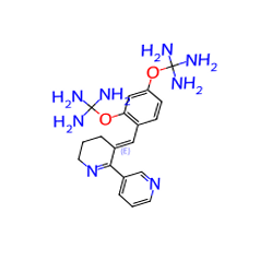 NC(N)(N)Oc1ccc(/C=C2\CCCN=C2c2cccnc2)c(OC(N)(N)N)c1